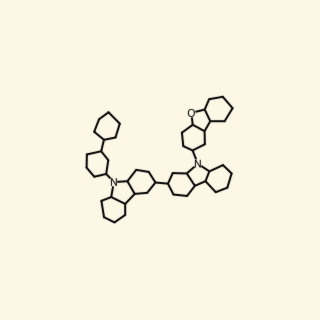 C1CCC(C2CCCC(N3C4CCCCC4C4CC(C5CCC6C7CCCCC7N(C7CCC8OC9CCCCC9C8C7)C6C5)CCC43)C2)CC1